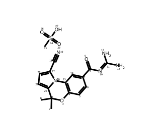 CC1(C)Oc2ccc(C(=O)N=C(N)N)cc2-n2c(C#N)ccc21.CS(=O)(=O)O